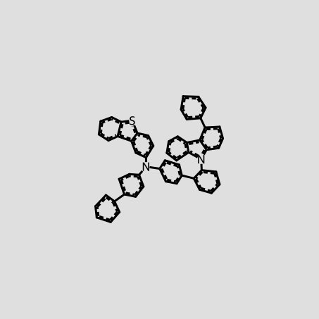 c1ccc(-c2ccc(N(c3ccc(-c4ccccc4-n4c5ccccc5c5c(-c6ccccc6)cccc54)cc3)c3ccc4sc5ccccc5c4c3)cc2)cc1